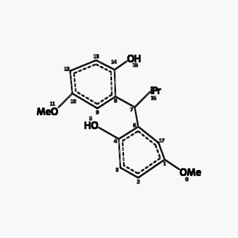 COc1ccc(O)c(C(c2cc(OC)ccc2O)C(C)C)c1